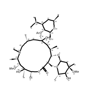 CC[C@H]1OC(=O)[C@H](C)[C@@H](O[C@H]2C[C@@](C)(OC)C(O)[C@H](C)O2)[C@H](C)[C@@H](O[C@@H]2O[C@H](C)C[C@H](N(C)C)[C@H]2OC(C)=O)[C@](C)(O)C[C@@H](C)CN(C)[C@H](C)[C@@H](OC)[C@]1(C)O